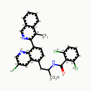 O=C(NC(Cc1ccc(-c2ncc3ccccc3c2C(F)(F)F)c2ncc(F)cc12)C(=O)O)c1c(Cl)cccc1Cl